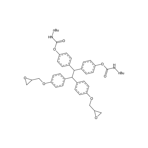 CCCCNC(=O)Oc1ccc(C(c2ccc(OC(=O)NCCCC)cc2)C(c2ccc(OCC3CO3)cc2)c2ccc(OCC3CO3)cc2)cc1